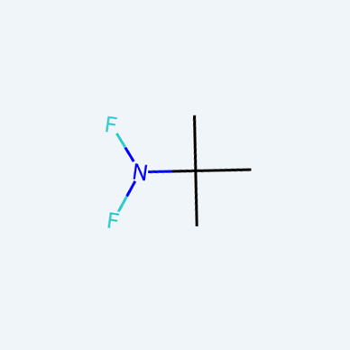 CC(C)(C)N(F)F